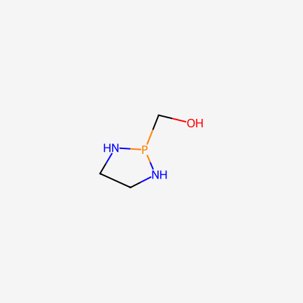 OCP1NCCN1